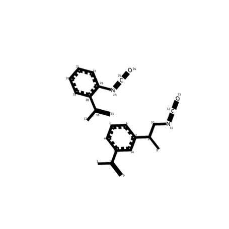 C=C(C)c1cccc(C(C)CN=C=O)c1.C=C(C)c1ccccc1N=C=O